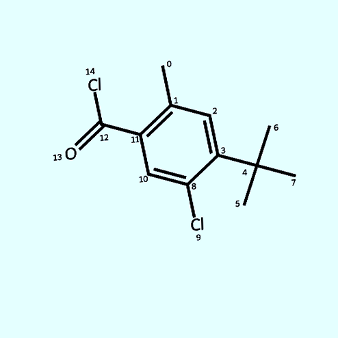 Cc1cc(C(C)(C)C)c(Cl)cc1C(=O)Cl